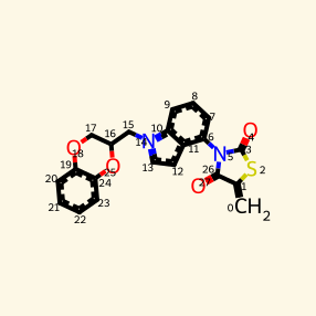 C=C1SC(=O)N(c2cccc3c2ccn3CC2COc3ccccc3O2)C1=O